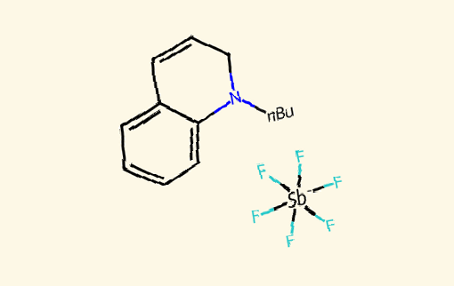 CCCCN1CC=Cc2ccccc21.[F][Sb-]([F])([F])([F])([F])[F]